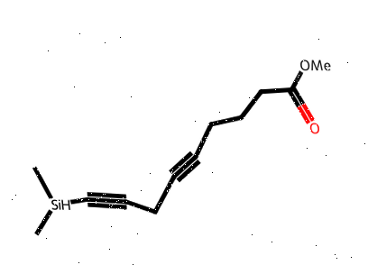 COC(=O)CCCC#CCC#C[SiH](C)C